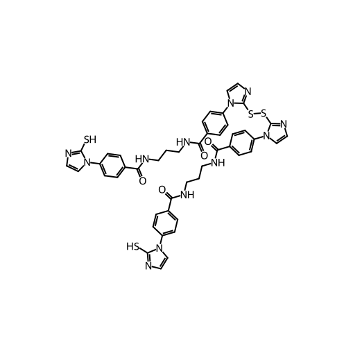 O=C(NCCCNC(=O)c1ccc(-n2ccnc2SSc2nccn2-c2ccc(C(=O)NCCCNC(=O)c3ccc(-n4ccnc4S)cc3)cc2)cc1)c1ccc(-n2ccnc2S)cc1